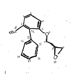 CC(C)(C)c1cccc(OCC2CO2)c1-c1ccccc1